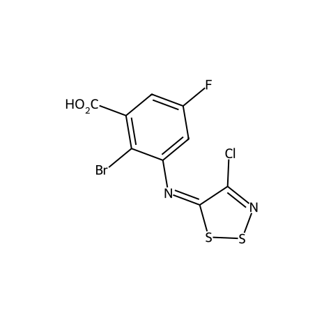 O=C(O)c1cc(F)cc(N=c2ssnc2Cl)c1Br